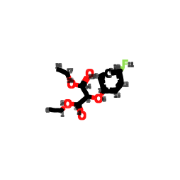 CCOC(=O)C(Oc1ccc(F)cc1)C(=O)OCC